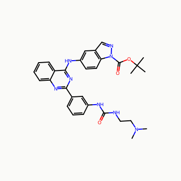 CN(C)CCNC(=O)Nc1cccc(-c2nc(Nc3ccc4c(cnn4C(=O)OC(C)(C)C)c3)c3ccccc3n2)c1